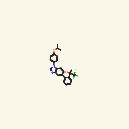 CC(C)Oc1ccc(-n2cnc3cc(-c4ccccc4C(C)(O)C(F)(F)F)ccc32)cc1